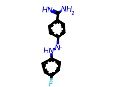 N=C(N)c1ccc([N]Nc2ccc(F)cc2)cc1